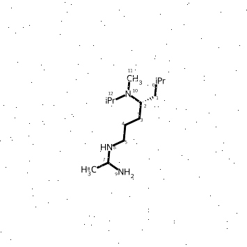 CC(C)C[C@H](CCCNC(C)N)N(C)C(C)C